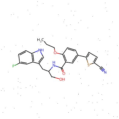 CCCOc1ccc(-c2ccc(C#N)s2)cc1C(=O)NC(CO)Cc1c[nH]c2ccc(F)cc12